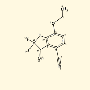 CCOc1ccc(C#N)c2c1CC(F)(F)[C@H]2O